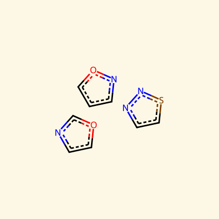 c1cnoc1.c1cocn1.c1csnn1